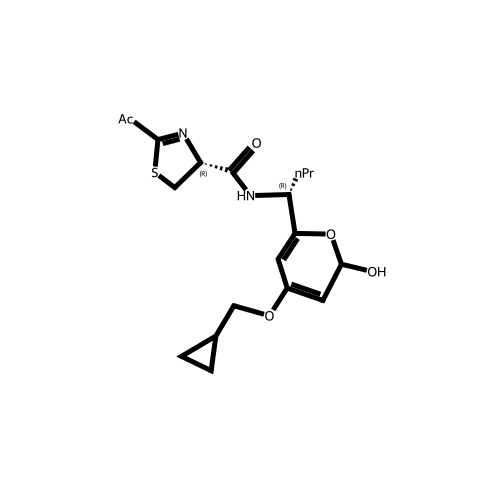 CCC[C@@H](NC(=O)[C@@H]1CSC(C(C)=O)=N1)C1=CC(OCC2CC2)=CC(O)O1